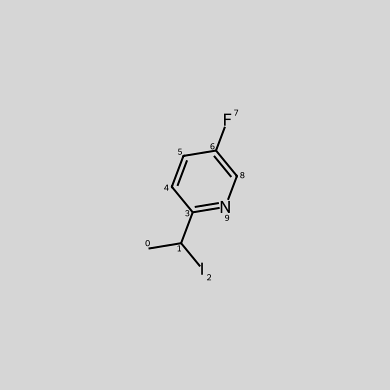 CC(I)c1ccc(F)cn1